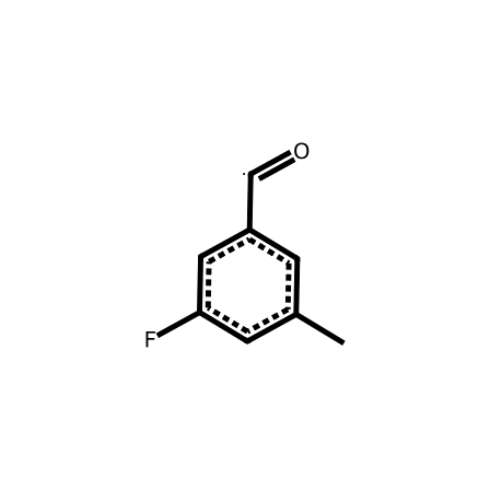 Cc1cc(F)cc([C]=O)c1